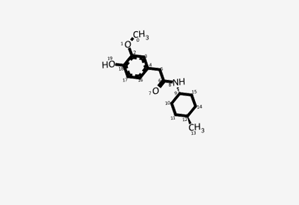 COc1cc(CC(=O)N[C@H]2CC[C@H](C)CC2)ccc1O